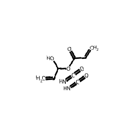 C=CC(=O)OC(O)C=C.N=C=O.N=C=O